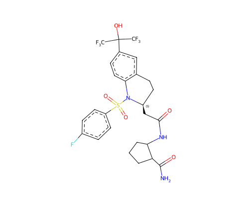 NC(=O)C1CCCC1NC(=O)C[C@@H]1CCc2cc(C(O)(C(F)(F)F)C(F)(F)F)ccc2N1S(=O)(=O)c1ccc(F)cc1